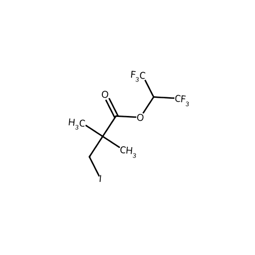 CC(C)(CI)C(=O)OC(C(F)(F)F)C(F)(F)F